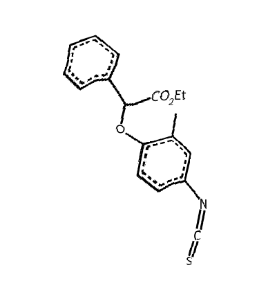 CCOC(=O)C(Oc1ccc(N=C=S)cc1C)c1ccccc1